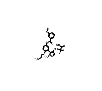 CCOc1cccc(C(=O)Nc2ccc(OCCN)c(-c3c(Cl)cnn3C)c2)c1.O=C(O)C(F)(F)F